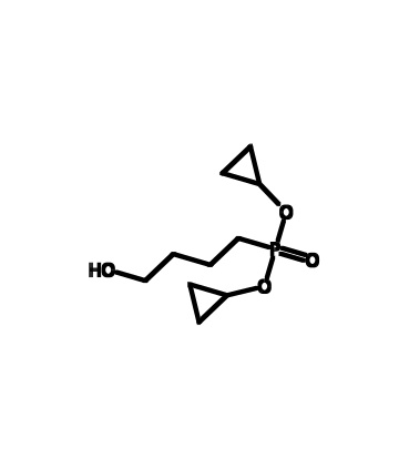 O=P(CCCCO)(OC1CC1)OC1CC1